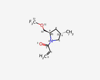 C=CC(=O)N1C[C@@H](C)C[C@@H]1COC(F)(F)F